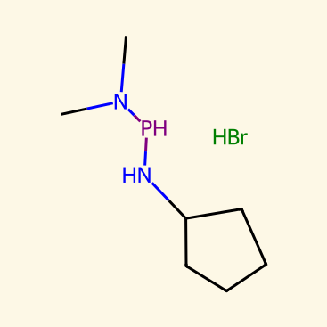 Br.CN(C)PNC1CCCC1